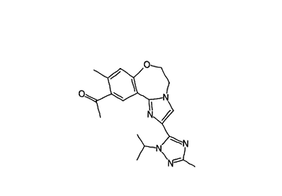 CC(=O)c1cc2c(cc1C)OCCn1cc(-c3nc(C)nn3C(C)C)nc1-2